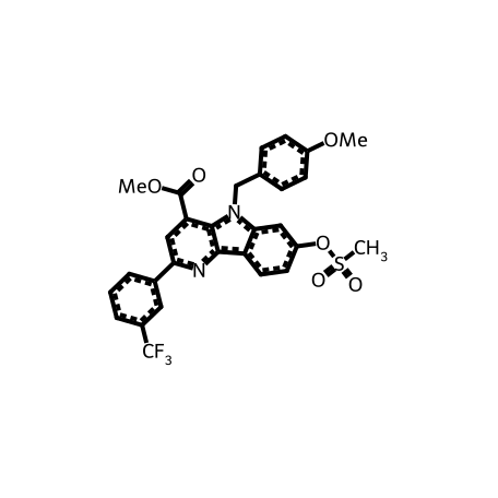 COC(=O)c1cc(-c2cccc(C(F)(F)F)c2)nc2c3ccc(OS(C)(=O)=O)cc3n(Cc3ccc(OC)cc3)c12